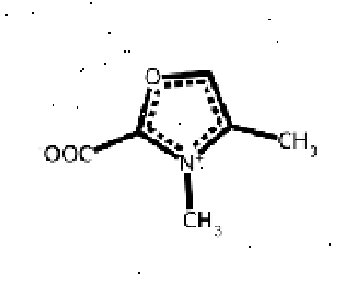 Cc1coc(C(=O)[O-])[n+]1C